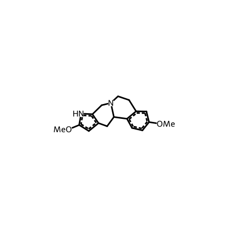 COc1ccc2c(c1)CCN1Cc3[nH]c(OC)cc3CC21